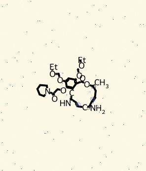 CCOCOc1cc(OCOCC)c2c(c1OCC(=O)N1CCCCC1)CC(=N)/C=C/C[C@H](N)/C=C/C[C@@H](C)OC2=O